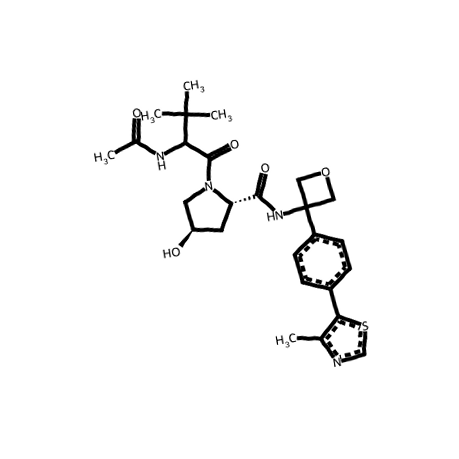 CC(=O)NC(C(=O)N1C[C@H](O)C[C@H]1C(=O)NC1(c2ccc(-c3scnc3C)cc2)COC1)C(C)(C)C